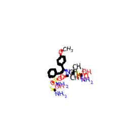 C.C#CC.COc1ccc(-c2ncoc2-c2ccccc2S(N)(=O)=O)cc1.NC(O)=S.NC(O)=S.O